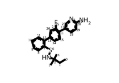 CCC(C)(C)NSc1ccccc1-c1ccc(-c2ccc(N)nc2)c(F)c1